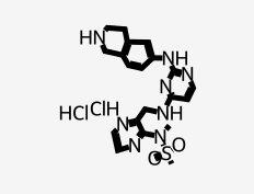 CN(c1nccnc1CNc1ccnc(Nc2ccc3c(c2)CCNC3)n1)S(C)(=O)=O.Cl.Cl